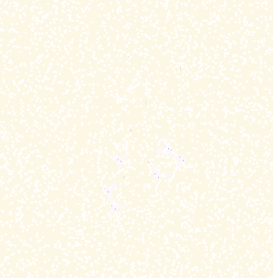 Cn1ccc(N(C(=O)O)c2cc(B3OC(C)(C)C(C)(C)O3)cn3ncnc23)n1